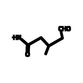 CC(CC=O)CC([NH])=O